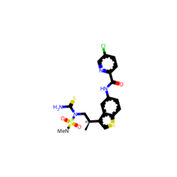 CNS(=O)(=O)N(C[C@H](C)c1csc2ccc(NC(=O)c3ccc(Cl)cn3)cc12)C(N)=S